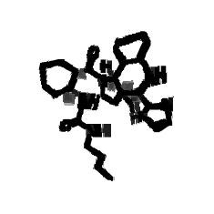 CCCCNC(=O)N[C@@H]1CCCC[C@@H]1C(=O)N1CC[C@H]2[C@H](c3ncc[nH]3)Nc3ccccc3[C@@H]21